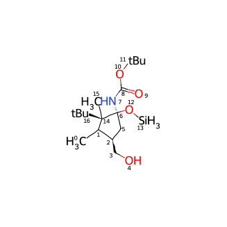 CC1[C@H](CO)C[C@](NC(=O)OC(C)(C)C)(O[SiH3])[C@]1(C)C(C)(C)C